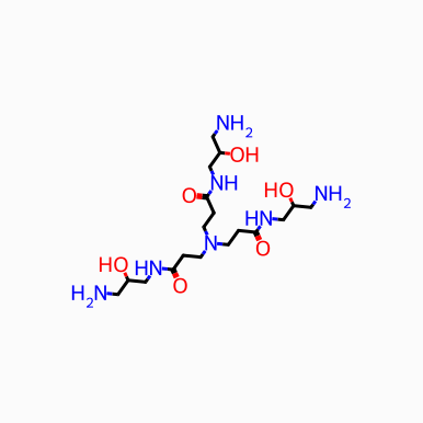 NCC(O)CNC(=O)CCN(CCC(=O)NCC(O)CN)CCC(=O)NCC(O)CN